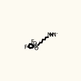 [N-]=[N+]=NCCCCC[CH]CS(=O)(=O)c1ccc(F)cc1F